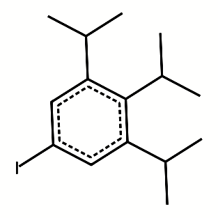 CC(C)c1cc(I)cc(C(C)C)c1C(C)C